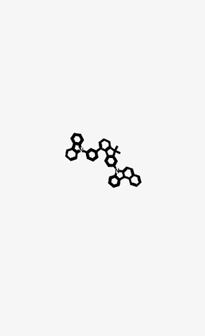 CC1(C)C2=C(C(c3cccc(-n4c5c(c6ccccc64)CCC=C5)c3)=CCC2)c2ccc(N3C4=CC=C5C=CC=CC5C4c4ccccc43)cc21